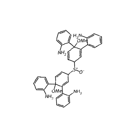 COC1(c2ccccc2N)C=CC([S+]([O-])C2C=CC(OC)(c3ccccc3N)C(c3ccccc3N)=C2)C=C1c1ccccc1N